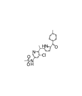 Cc1ccc(C(=O)c2ccc(C(C)c3ncc(NS(C)(=O)=O)cc3Cl)[nH]2)cc1